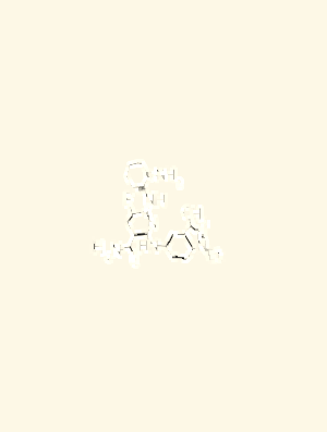 CCn1nc(C)c2cc(Nc3nc(N[C@@H]4CCCC[C@@H]4N)c(F)cc3C(N)=O)ccc21